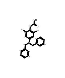 O=C(O)Nc1c(F)cc(N(Cc2ccccc2)Cc2ccccc2)cc1F